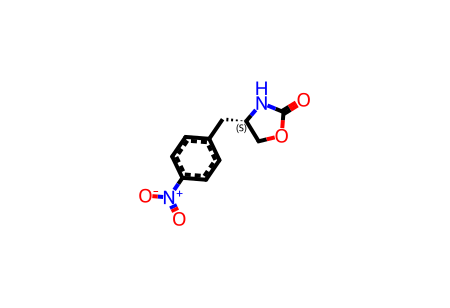 O=C1N[C@@H](Cc2ccc([N+](=O)[O-])cc2)CO1